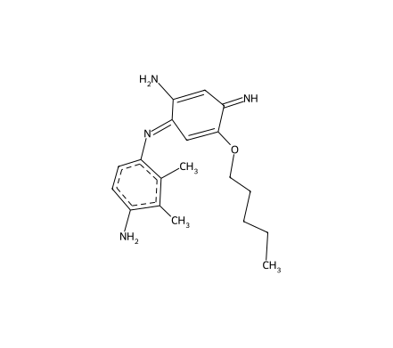 CCCCCOC1=CC(=Nc2ccc(N)c(C)c2C)C(N)=CC1=N